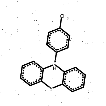 Cc1ccc([SH]2c3ccccc3Sc3ccccc32)cc1